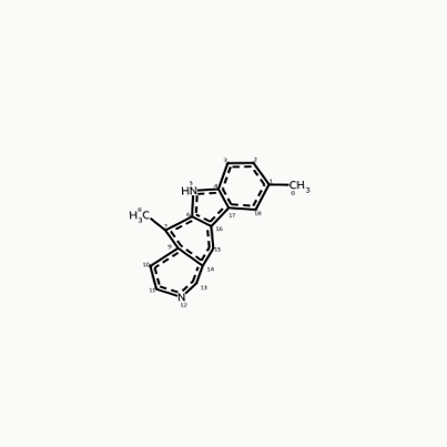 Cc1ccc2[nH]c3c(C)c4ccncc4cc3c2c1